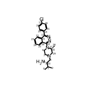 CC(C)[C@H](N)CN1CCN(c2nnc(-c3ccc(Cl)cc3)c3ccccc23)[C@@H](C)C1